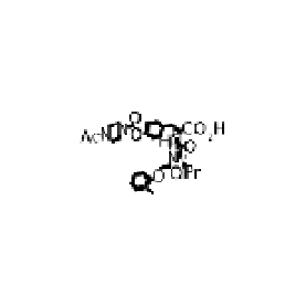 CC(=O)N1CCN(C(=O)Oc2ccc(C[C@H](NC(=O)[C@H](CC(C)C)NC(=O)COc3ccccc3C)C(=O)O)cc2)CC1